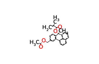 C=C(C)C(=O)OC1(C)c2ccc(COC(C)=O)cc2-c2cccc3cccc1c23